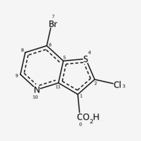 O=C(O)c1c(Cl)sc2c(Br)ccnc12